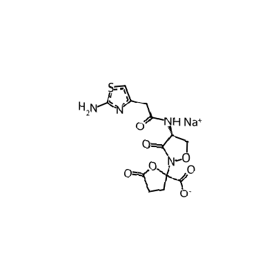 Nc1nc(CC(=O)N[C@H]2CON(C3(C(=O)[O-])CCC(=O)O3)C2=O)cs1.[Na+]